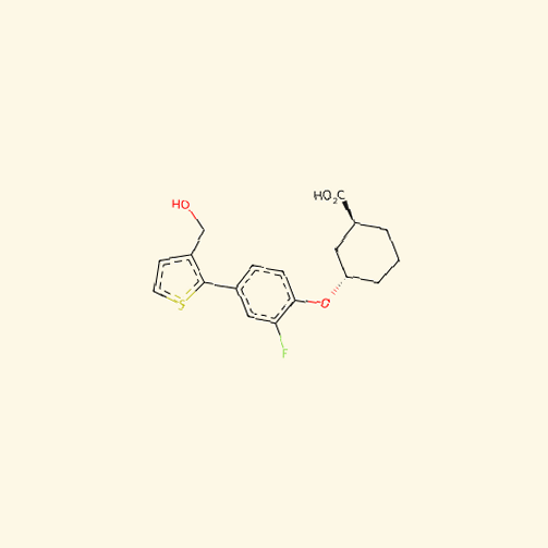 O=C(O)[C@H]1CCC[C@H](Oc2ccc(-c3sccc3CO)cc2F)C1